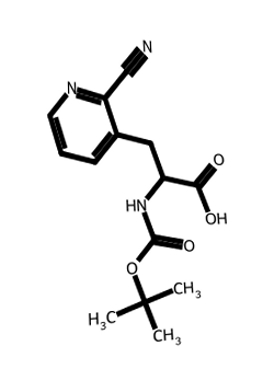 CC(C)(C)OC(=O)NC(Cc1cccnc1C#N)C(=O)O